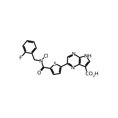 O=C(O)c1c[nH]c2ncc(-c3ccc(C(=O)N(Cl)Cc4ccccc4F)s3)nc12